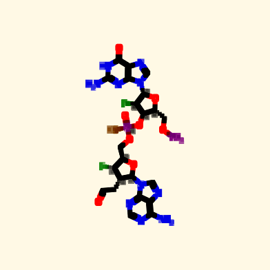 Nc1nc2c(ncn2[C@@H]2O[C@H](COP)[C@@H](O[P@](=O)(S)OC[C@H]3O[C@@H](n4cnc5c(N)ncnc54)[C@H](CC=O)[C@@H]3F)[C@H]2F)c(=O)[nH]1